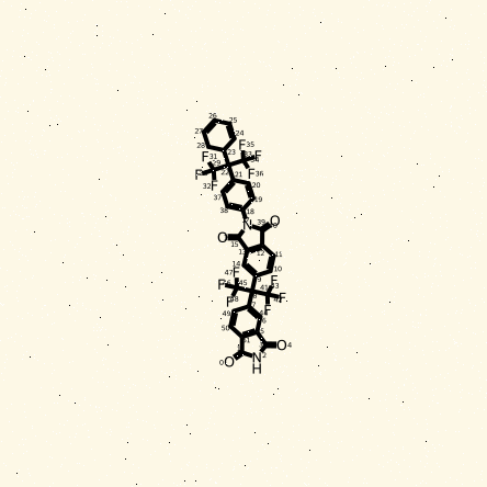 O=C1NC(=O)c2cc(C(c3ccc4c(c3)C(=O)N(c3ccc(C(C5C=CC=CC5)(C(F)(F)F)C(F)(F)F)cc3)C4=O)(C(F)(F)F)C(F)(F)F)ccc21